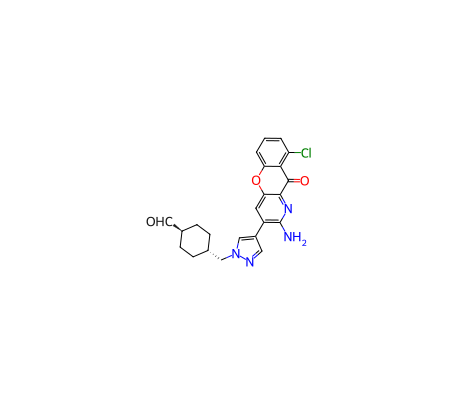 Nc1nc2c(=O)c3c(Cl)cccc3oc2cc1-c1cnn(C[C@H]2CC[C@H](C=O)CC2)c1